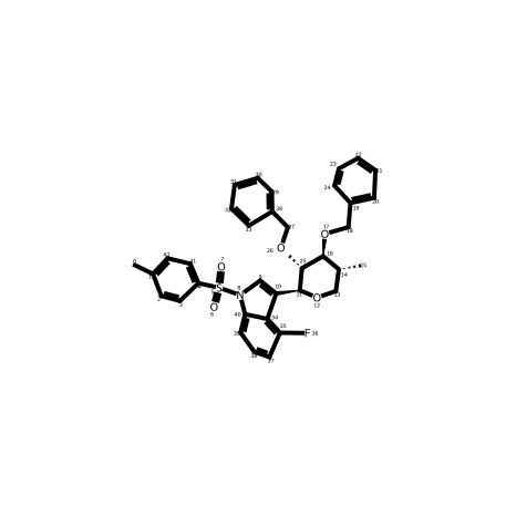 Cc1ccc(S(=O)(=O)n2cc([C@@H]3OC[C@@H](C)[C@H](OCc4ccccc4)[C@H]3OCc3ccccc3)c3c(F)cccc32)cc1